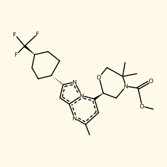 COC(=O)N1C[C@@H](c2cc(C)nc3cc([C@H]4CC[C@H](C(F)(F)F)CC4)nn23)OCC1(C)C